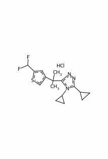 CC(C)(c1csc(C(F)F)c1)c1nnc(C2CC2)n1C1CC1.Cl